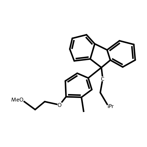 COCCOc1ccc(C2(CCC(C)C)c3ccccc3-c3ccccc32)cc1C